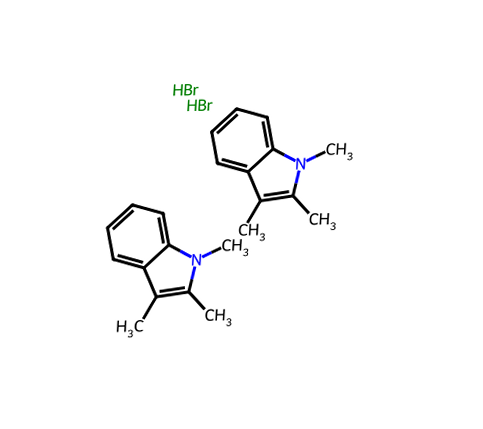 Br.Br.Cc1c(C)n(C)c2ccccc12.Cc1c(C)n(C)c2ccccc12